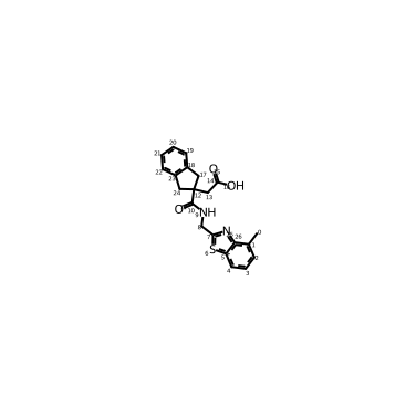 Cc1cccc2sc(CNC(=O)C3(CC(=O)O)Cc4ccccc4C3)nc12